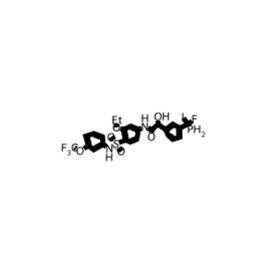 CCOc1cc(NC(=O)C(O)c2cccc(C(F)(P)I)c2)ccc1S(=O)(=O)Nc1cccc(OC(F)(F)F)c1